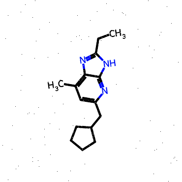 CCc1nc2c(C)cc(CC3CCCC3)nc2[nH]1